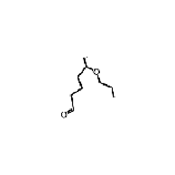 [CH2]C(CCCC=O)OCCC